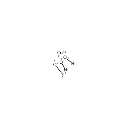 [Cu+3].[N][O-].[N][O-].[N][O-]